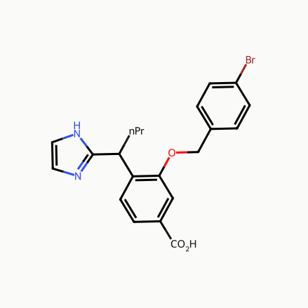 CCCC(c1ncc[nH]1)c1ccc(C(=O)O)cc1OCc1ccc(Br)cc1